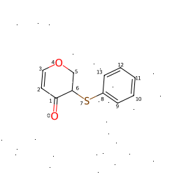 O=C1C=COCC1Sc1ccccc1